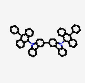 c1ccc(-c2c3ccccc3c(-n3c4ccccc4c4cc(-c5ccc6c(c5)c5ccccc5n6-c5c6ccccc6c(-c6ccccc6)c6ccccc56)ccc43)c3ccccc23)cc1